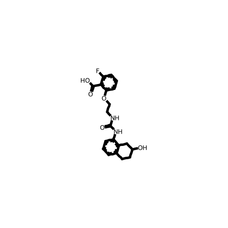 O=C(NCCOc1cccc(F)c1C(=O)O)Nc1cccc2c1CC(O)CC2